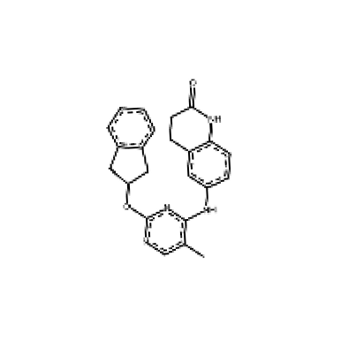 Cc1cnc(OC2Cc3ccccc3C2)nc1Nc1ccc2c(c1)CCC(=O)N2